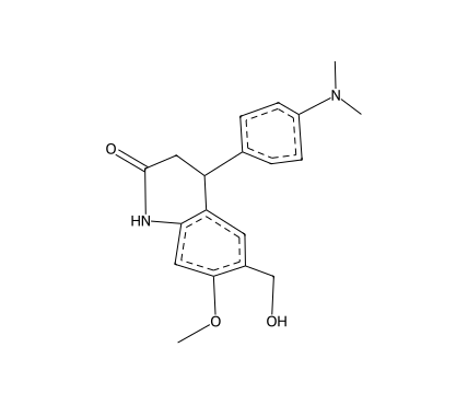 COc1cc2c(cc1CO)C(c1ccc(N(C)C)cc1)CC(=O)N2